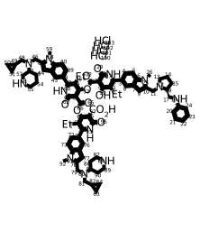 CCc1c(-c2ccc3c(c2)cc(CN2CCC[C@H]2CNc2ccccc2)n3C)[nH]c(=O)c(C(=O)Oc2c(CC)c(-c3ccc4c(c3)cc(CN(CC3CC3)C3CCCNC3)n4C)[nH]c(=O)c2C(=O)Oc2c(CC)c(-c3ccc4c(c3)cc(CN(CC3CC3)C3CCNCC3)n4C)[nH]c(=O)c2C(=O)O)c1O.Cl.Cl.Cl.Cl